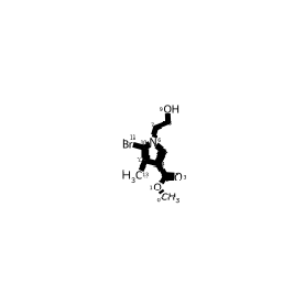 COC(=O)c1cn(CCO)c(Br)c1C